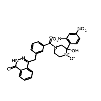 O=C(c1cccc(Cc2n[nH]c(=O)c3ccccc23)c1)N1CC[N+]([O-])C(O)(c2ccc([N+](=O)[O-])cc2[N+](=O)[O-])C1